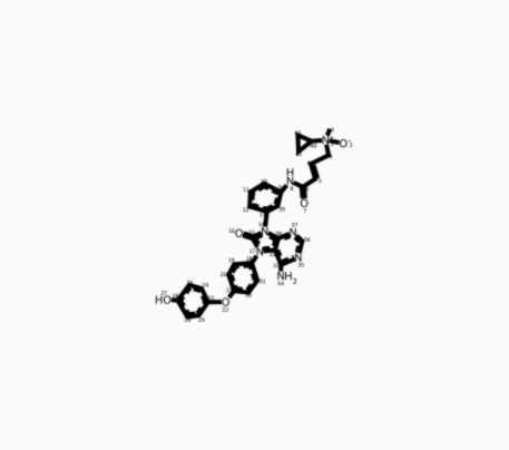 C[N+]([O-])(C/C=C/C(=O)Nc1cccc(-n2c(=O)n(-c3ccc(Oc4ccc(O)cc4)cc3)c3c(N)ncnc32)c1)C1CC1